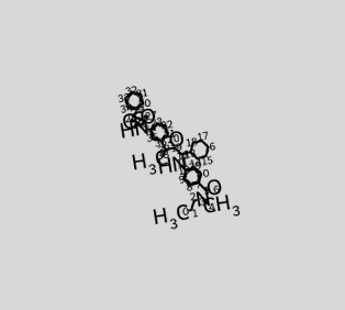 CCCN(C)C(=O)c1ccc(NC(C2CCCCC2)C2Oc3ccc(NS(=O)(=O)c4ccccc4)cc3C2C)cc1